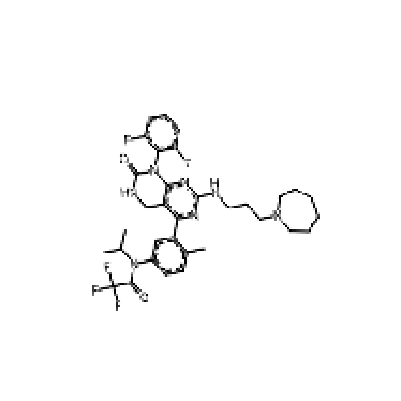 Cc1ccc(N(C(=O)C(F)(F)F)C(C)C)cc1-c1nc(NCCCN2CCCCCC2)nc2c1CNC(=O)N2c1c(F)cccc1F